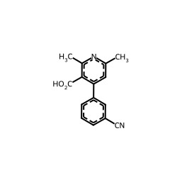 Cc1cc(-c2cccc(C#N)c2)c(C(=O)O)c(C)n1